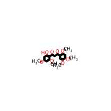 COc1cc(O)c(C(=O)CC(=O)c2cc(OC)c(OC)cc2OC)c(OC)c1